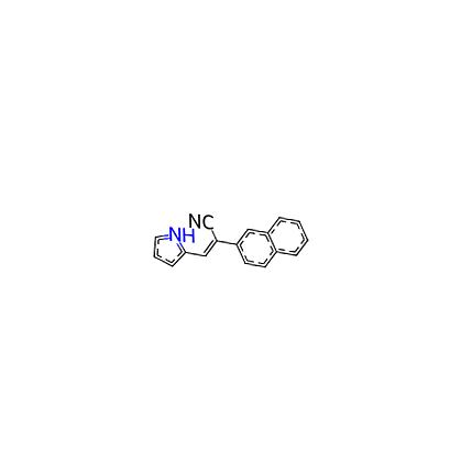 N#CC(=Cc1ccc[nH]1)c1ccc2ccccc2c1